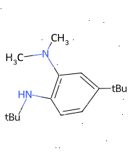 CN(C)c1cc(C(C)(C)C)ccc1NC(C)(C)C